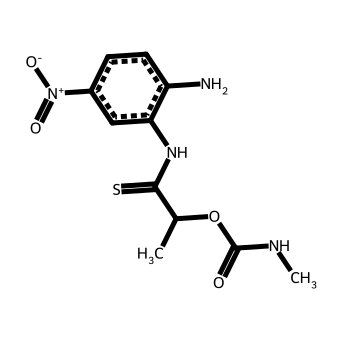 CNC(=O)OC(C)C(=S)Nc1cc([N+](=O)[O-])ccc1N